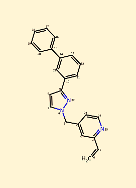 C=Cc1cc(Cn2ccc(-c3cccc(-c4ccccc4)c3)n2)ccn1